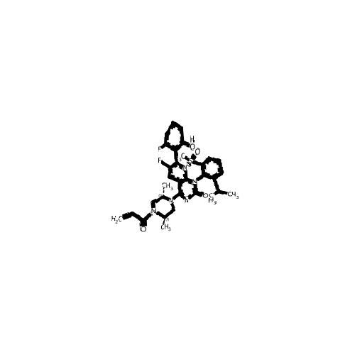 C=CC(=O)N1C[C@H](C)N(c2nc(=O)n(-c3c(C(C)C)cccc3S(C)(=O)=O)c3nc(-c4c(O)cccc4F)c(F)cc23)C[C@H]1C